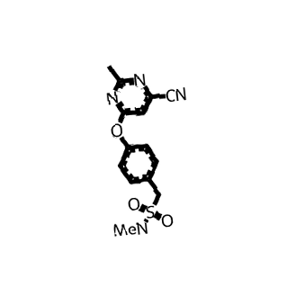 CNS(=O)(=O)Cc1ccc(Oc2cc(C#N)nc(C)n2)cc1